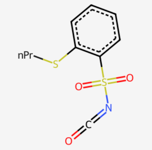 CCCSc1ccccc1S(=O)(=O)N=C=O